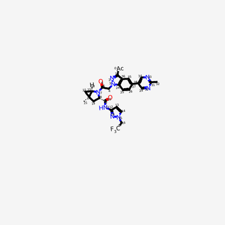 CC(=O)c1nn(CC(=O)N2[C@H](C(=O)Nc3ccn(CC(F)(F)F)n3)C[C@@]3(C)C[C@@H]23)c2ccc(-c3cnc(C)nc3)cc12